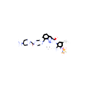 COc1c(NC(=O)c2cc3cccc(CN4CCN(C(=O)CN5CCC(N(C)C)CC5)CC4)c3n2C)cc(C(C)(C)C)cc1NS(C)(=O)=O